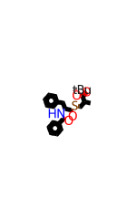 CC(CSC(=O)C(Cc1ccccc1)NC(=O)c1ccccc1)C(=O)OC(C)(C)C